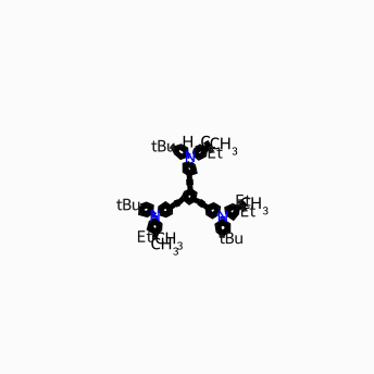 CCC(C)(C)c1ccc(N(c2ccc(C#Cc3cc(C#Cc4ccc(N(c5ccc(C(C)(C)C)cc5)c5ccc(C(C)(CC)CC)cc5)cc4)cc(C#Cc4ccc(N(c5ccc(C(C)(C)CC)cc5)C5C=CC(C(C)(C)C)=CC5)cc4)c3)cc2)c2ccc(C(C)(C)C)cc2)cc1